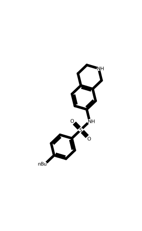 CCCCc1ccc(S(=O)(=O)Nc2ccc3c(c2)CNCC3)cc1